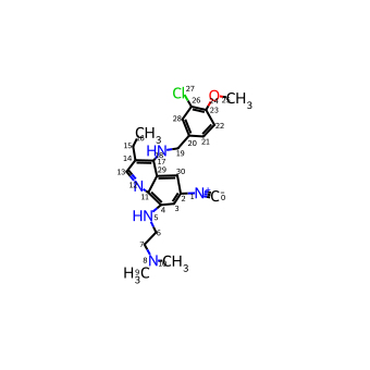 [C-]#[N+]c1cc(NCCN(C)C)c2ncc(CC)c(NCc3ccc(OC)c(Cl)c3)c2c1